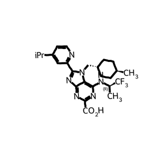 CC(C)c1ccnc(-c2nc3nc(C(=O)O)nc(N[C@H](C)C(F)(F)F)c3n2C[C@H]2CC[C@H](C)CC2)c1